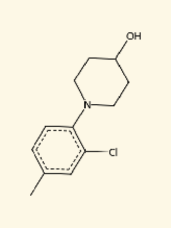 Cc1ccc(N2CCC(O)CC2)c(Cl)c1